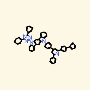 c1ccc(-c2ccc(-c3cc(-c4ccc(-n5c6ccccc6c6cc7c(cc65)c5ccccc5n7-c5nc(-c6ccccc6)nc(-c6ccccc6)n5)cc4)cc(-c4ccccc4)n3)cc2)cc1